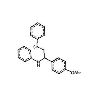 COc1ccc(C(C[Se]c2ccccc2)Nc2ccccc2)cc1